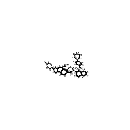 CCc1cc2cc(N3CCN(C)CC3)ccc2c2ccc3c(c12)CCC(c1ccc2ccccc2c1NC(=O)c1ccc(N2CCOCC2)cc1)C3